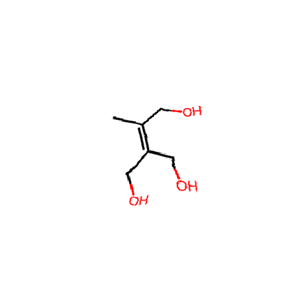 CC(CO)=C(CO)CO